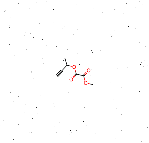 C#CC(C)OC(=O)C(=O)OC